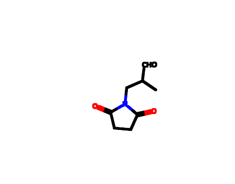 CC(C=O)CN1C(=O)CCC1=O